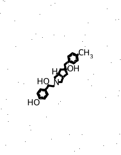 Cc1ccc(C[C@]2(O)CC3CN(CC(O)c4ccc(O)cc4)C[C@H]3C2)cc1